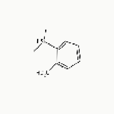 C[SiH](C)c1ccccc1C(=O)O